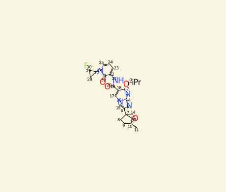 CC(C)Oc1nc2nc([C@]34CC[C@](C)(C3)OC4)cn2cc1C(=O)Nc1cccn([C@H]2C[C@H]2F)c1=O